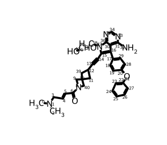 CN(C)C/C=C/C(=O)N1CC2(CC(C#Cc3c(-c4ccc(Oc5ccccc5)cc4)c4c(N)ncnc4n3C)C2)C1.O=CO